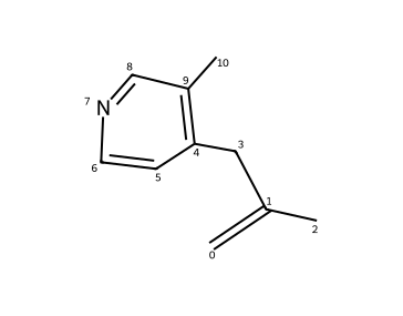 C=C(C)Cc1ccncc1C